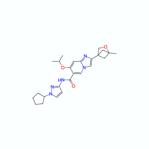 CC(C)Oc1cc2nc(C34COC(C)(C3)C4)cn2cc1C(=O)Nc1ccn(C2CCCC2)n1